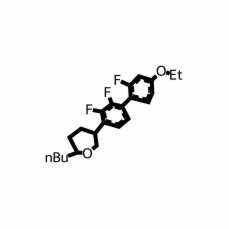 CCCCC1CCC(c2ccc(-c3ccc(OCC)cc3F)c(F)c2F)CO1